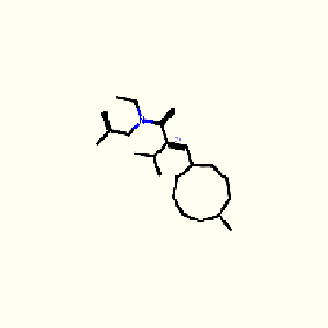 C=C(C)CN(CC)C(=C)/C(=C/C1CCCCC(C)CCC1)C(C)C